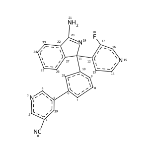 N#Cc1cncc(-c2cccc(C3(c4ccncc4F)N=C(N)c4ccccc43)c2)c1